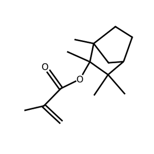 C=C(C)C(=O)OC1(C)C2(C)CCC(C2)C1(C)C